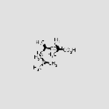 C=C(C)C(=O)O.C=C(C)C(=O)O.C[Si](C)C